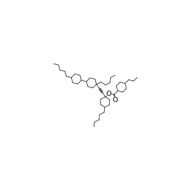 CCCCCC1CCC(C2CCC(C#CC3(OC(=O)C4CCC(CCC)CC4)CCC(CCCCC)CC3)(CCCCC)CC2)CC1